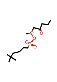 CCCC(=O)C[S+](C)OS(=O)(=O)CCCCC(C)(C)C